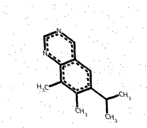 Cc1c(C(C)C)cc2cncnc2c1C